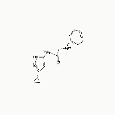 O=C(CNc1ccccc1)Nc1cc(C2CC2)n[nH]1